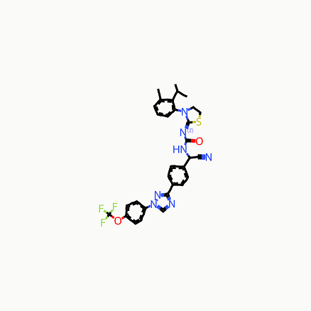 Cc1cccc(N2CCS/C2=N\C(=O)NC(C#N)c2ccc(-c3ncn(-c4ccc(OC(F)(F)F)cc4)n3)cc2)c1C(C)C